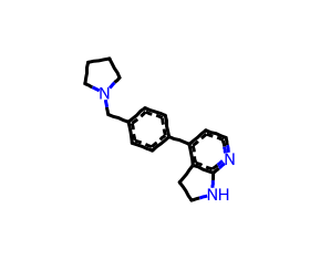 c1cc(-c2ccc(CN3CCCC3)cc2)c2c(n1)NCC2